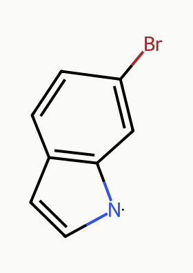 Brc1ccc2c(c1)[N]C=C2